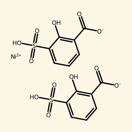 O=C([O-])c1cccc(S(=O)(=O)O)c1O.O=C([O-])c1cccc(S(=O)(=O)O)c1O.[Ni+2]